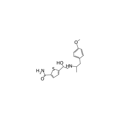 COc1ccc(CC(C)NCC(O)c2ccc(C(N)=O)s2)cc1